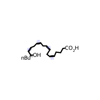 CCCC[C@H](O)/C=C\C/C=C\C/C=C\C/C=C\CCCC(=O)O